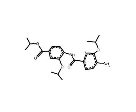 CC(C)OC(=O)c1ccc(NC(=O)c2ccc(N)c(OC(C)C)n2)c(OC(C)C)c1